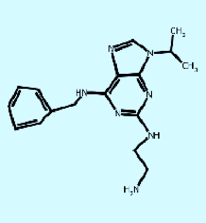 CC(C)n1cnc2c(NCc3ccccc3)nc(NCCN)nc21